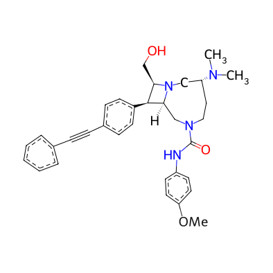 COc1ccc(NC(=O)N2CC[C@@H](N(C)C)CN3[C@H](CO)[C@H](c4ccc(C#Cc5ccccc5)cc4)[C@@H]3C2)cc1